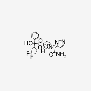 NC(=O)C(c1ccncn1)[N+]12CCC(CC1)[C@@H](OC(=O)C(O)(c1ccccc1)C1CCC(F)(F)C1)C2